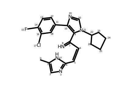 Cc1cnc(/C=C\C(=N)c2c(-c3ccc(F)c(Cl)c3)ncn2C2CCCC2)[nH]1